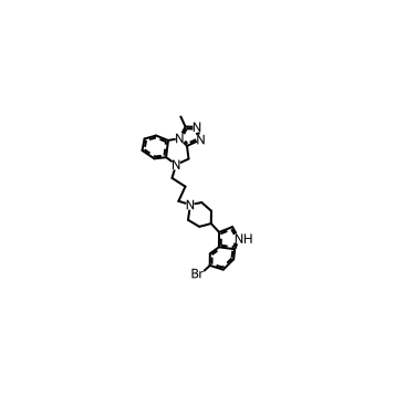 Cc1nnc2n1-c1ccccc1N(CCCN1CCC(c3c[nH]c4ccc(Br)cc34)CC1)C2